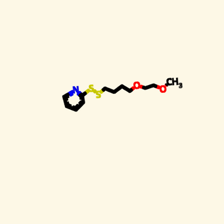 COCCOCCCCSSc1ccccn1